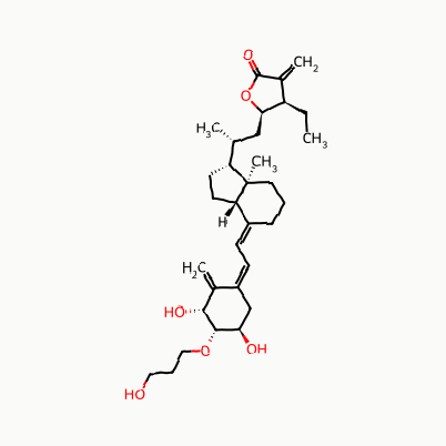 C=C1/C(=C\C=C2/CCC[C@]3(C)[C@@H]([C@H](C)C[C@H]4OC(=O)C(=C)[C@H]4CC)CC[C@@H]23)C[C@@H](O)[C@H](OCCCO)[C@@H]1O